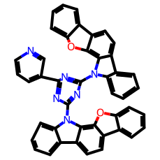 c1cncc(-c2nc(-n3c4ccccc4c4ccc5c6ccccc6oc5c43)nc(-n3c4ccccc4c4ccc5c6ccccc6oc5c43)n2)c1